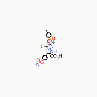 Cc1ccc(S(=O)(=O)N(C)c2nc(Cl)nc(NC(Cc3ccc(OC(=O)N(C)C)cc3)C(=O)O)n2)cc1